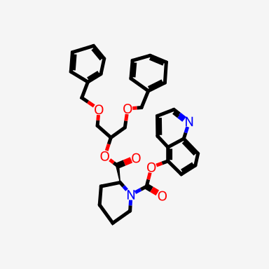 O=C(OC(COCc1ccccc1)COCc1ccccc1)[C@@H]1CCCCN1C(=O)Oc1cccc2ncccc12